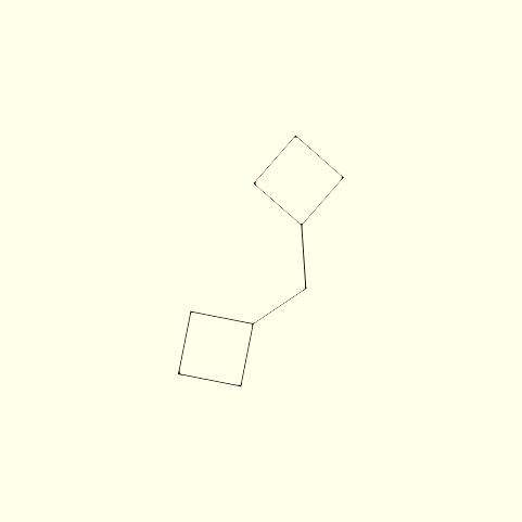 [CH](C1CCC1)C1CCC1